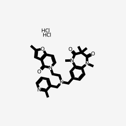 Cc1cc2c(=O)n(CCN(Cc3ccc4c(c3)N(C)C(=O)C(C)(C)C(=O)N4C)Cc3cccnc3C)ccc2o1.Cl.Cl